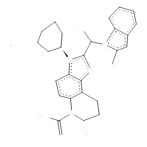 COC(=O)N1c2ccc3c(nc(C(C)n4c(O)cc5ccccc54)n3[C@@H]3CCC[C@@H](C(=O)O)C3)c2CC[C@@H]1C